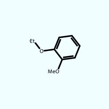 C[CH]Oc1ccccc1OC